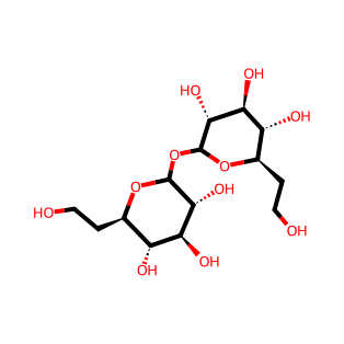 OCC[C@H]1OC(OC2O[C@H](CCO)[C@@H](O)[C@H](O)[C@H]2O)[C@H](O)[C@@H](O)[C@@H]1O